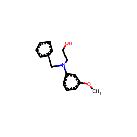 COc1cccc(N(CCO)Cc2ccccc2)c1